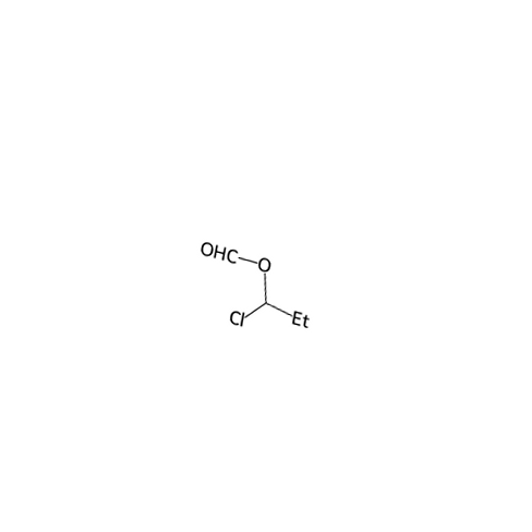 CCC(Cl)OC=O